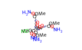 COc1cc(/C=C/C(=O)CC(=O)/C=C(\B/C(=C\C(=O)CC(=O)/C=C/c2ccc(OCCN)c(OC)c2)c2ccc(OCCN)c(OC)c2)c2ccc(OCCN)c(OC)c2)ccc1OCCN.Cl